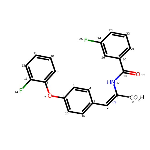 O=C(O)/C(=C/c1ccc(Oc2ccccc2F)cc1)NC(=O)c1cccc(F)c1